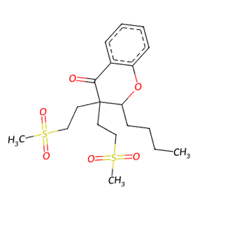 CCCCC1Oc2ccccc2C(=O)C1(CCS(C)(=O)=O)CCS(C)(=O)=O